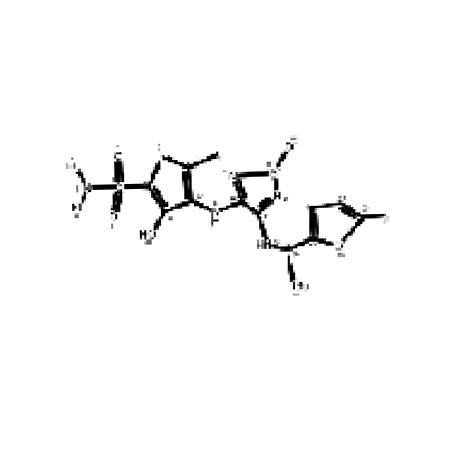 CCN(CC)S(=O)(=O)c1sc(C)c(Nc2n[s+]([O-])nc2N[C@@H](c2ccc(C)o2)C(C)(C)C)c1O